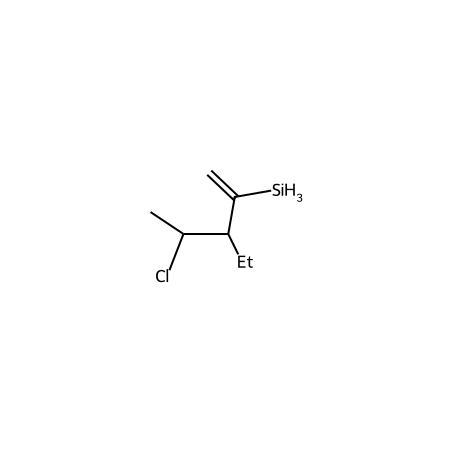 C=C([SiH3])C(CC)C(C)Cl